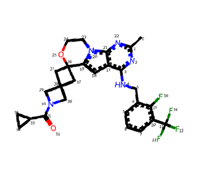 Cc1nc(NCc2cccc(C(F)(F)F)c2F)c2cc3n(c2n1)CCOC31CC2(CN(C(=O)C3CC3)C2)C1